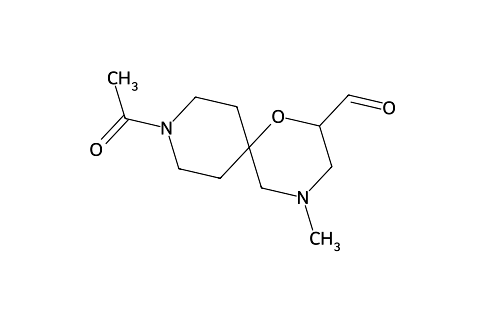 CC(=O)N1CCC2(CC1)CN(C)CC(C=O)O2